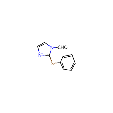 O=Cn1ccnc1Sc1ccccc1